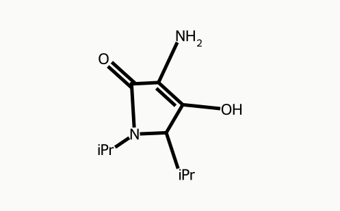 CC(C)C1C(O)=C(N)C(=O)N1C(C)C